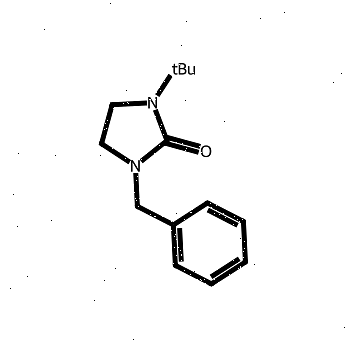 CC(C)(C)N1CCN(Cc2ccccc2)C1=O